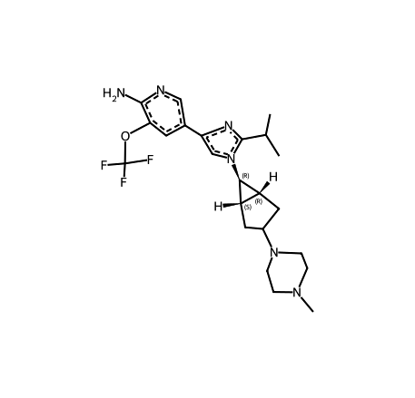 CC(C)c1nc(-c2cnc(N)c(OC(F)(F)F)c2)cn1[C@H]1[C@@H]2CC(N3CCN(C)CC3)C[C@@H]21